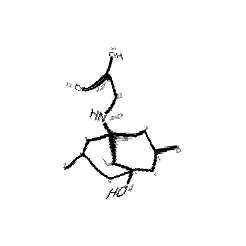 CC1CC2(O)CC(C)CC(NCC(=O)O)(C1)C2